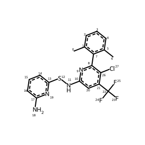 Cc1cccc(C)c1-c1nc(NSc2cccc(N)n2)cc(C(F)(F)F)c1Cl